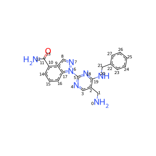 NCc1cnc(-n2ncc3c(C(N)=O)cccc32)nc1NCc1ccccc1